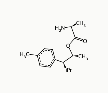 Cc1ccc([C@H](C(C)C)[C@H](C)OC(=O)[C@H](C)N)cc1